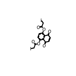 O=C(CI)Oc1ccc(OC(=O)CI)c2c1C(=O)C=CC2=O